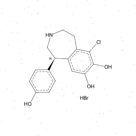 Br.Oc1ccc([C@H]2CNCCc3c2cc(O)c(O)c3Cl)cc1